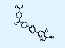 C=CC(=O)N1CCC(C(=O)N2CCN(c3ccc(-c4cc(OC)c5c(C#N)cnn5c4)cn3)CC2)CC1